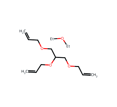 C=CCOCC(COCC=C)OCC=C.CCOCC